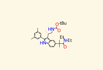 CCN(CC)C(=O)C(C)(C)c1ccc2[nH]c(-c3cc(C)cc(C)c3)c([C@H](C)CNC(=O)OC(C)(C)C)c2c1